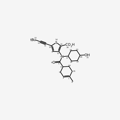 CC1=CCC(C(=O)N(c2cc(C#CC(C)(C)C)sc2C(=O)O)C2CCC(O)CC2)CC1